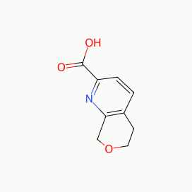 O=C(O)c1ccc2c(n1)COCC2